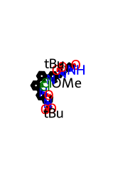 COc1nc(-c2cccc(-c3cccc(-c4ccc5c(n4)OCCN(C(=O)OC(C)(C)C)C5)c3Cl)c2Cl)ccc1CN(C[C@@H]1CCC(=O)N1)C(=O)OC(C)(C)C